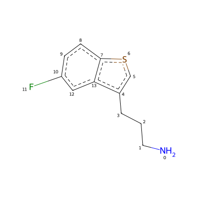 NCCCc1csc2ccc(F)cc12